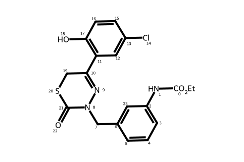 CCOC(=O)Nc1cccc(CN2N=C(c3cc(Cl)ccc3O)CSC2=O)c1